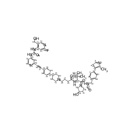 Cc1ncsc1-c1ccc(CNC(=O)[C@@H]2C[C@@H](O)CN2C(=O)C(NC(=O)CCCN2CCC(c3ccc(C#Cc4cc(NC(=O)Nc5cc(F)ncc5CO)ccn4)cc3)CC2)C(C)(C)C)cc1